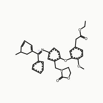 CCOC(=O)Cc1ccc(OC)c(Oc2ccc(/N=C(/C3=CC=CC(C)C3)c3ccccc3)cc2CN2CCOC2=O)c1